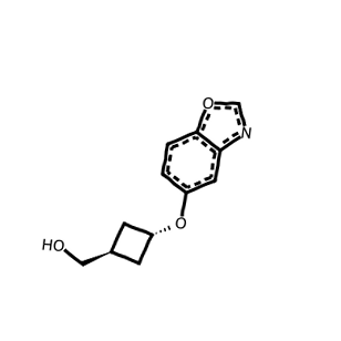 OC[C@H]1C[C@H](Oc2ccc3ocnc3c2)C1